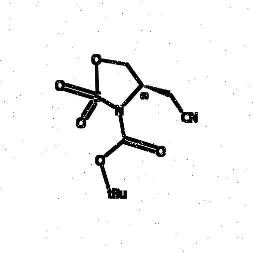 CC(C)(C)OC(=O)N1[C@@H](CC#N)COS1(=O)=O